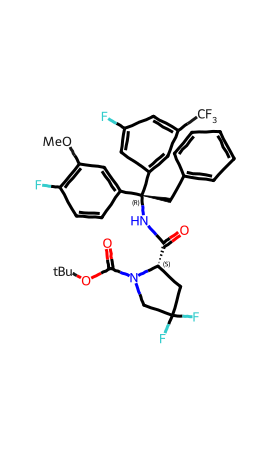 COc1cc([C@@](Cc2ccccc2)(NC(=O)[C@@H]2CC(F)(F)CN2C(=O)OC(C)(C)C)c2cc(F)cc(C(F)(F)F)c2)ccc1F